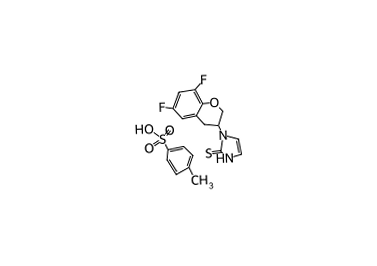 Cc1ccc(S(=O)(=O)O)cc1.Fc1cc(F)c2c(c1)CC(n1cc[nH]c1=S)CO2